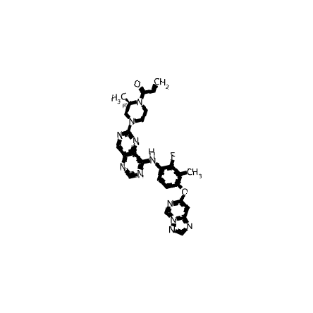 C=CC(=O)N1CCN(c2ncc3ncnc(Nc4ccc(Oc5cc6ncnn6cn5)c(C)c4F)c3n2)C[C@H]1C